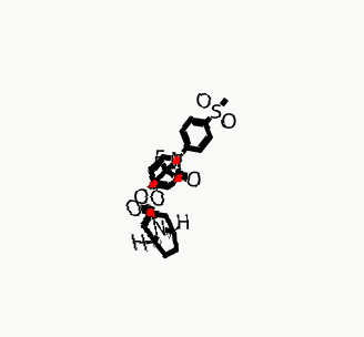 CS(=O)(=O)c1ccc(-n2ccc(OC3C[C@H]4CC[C@H](C3)N4C(=O)OCC(F)(F)F)cc2=O)cc1